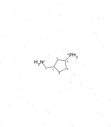 NCC1CCC(P)C1